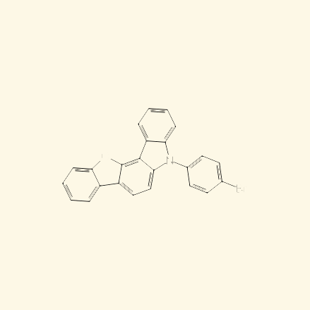 Brc1ccc(-n2c3ccccc3c3c4oc5ccccc5c4ccc32)cc1